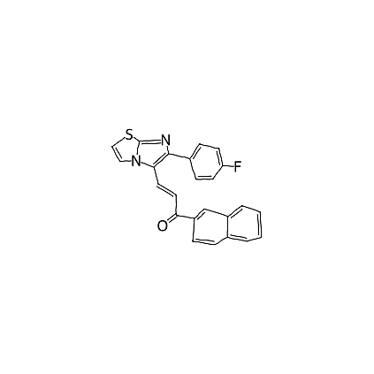 O=C(/C=C/c1c(-c2ccc(F)cc2)nc2sccn12)c1ccc2ccccc2c1